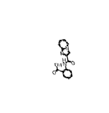 O=C(Nc1ccccc1C(=O)O)c1cn2ccccc2n1